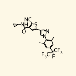 Cc1cc(C(F)(C(F)(F)F)C(F)(F)F)cc(C)c1-n1cc(-c2cc(C(=O)NC3CC3)c(C#N)s2)cn1